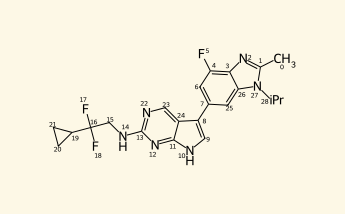 Cc1nc2c(F)cc(-c3c[nH]c4nc(NCC(F)(F)C5CC5)ncc34)cc2n1C(C)C